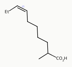 CC/C=C\CCCCC(C)C(=O)O